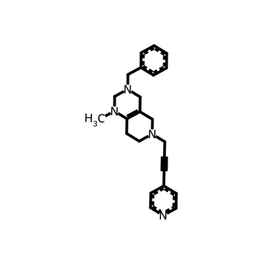 CN1CN(Cc2ccccc2)CC2=C1CCN(CC#Cc1ccncc1)C2